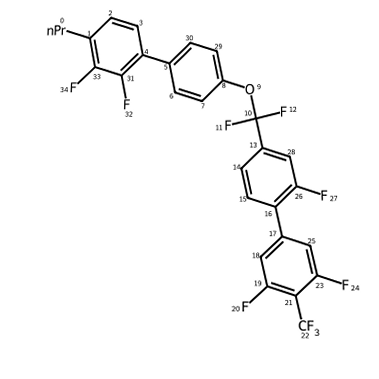 CCCc1ccc(-c2ccc(OC(F)(F)c3ccc(-c4cc(F)c(C(F)(F)F)c(F)c4)c(F)c3)cc2)c(F)c1F